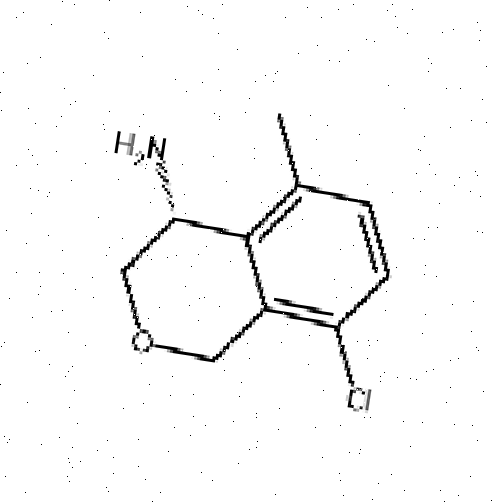 Cc1ccc(Cl)c2c1[C@@H](N)COC2